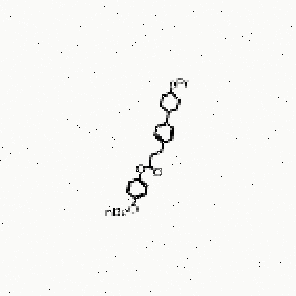 CCCCOc1ccc(OC(=O)CCc2ccc(C3CCC(CCC)CC3)cc2)cc1